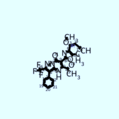 C#C/C=C(/OC)c1nc(-c2c(C(C)=O)[nH]c3c(-c4ccccc4)c(C(F)(F)F)nn3c2=O)oc1C